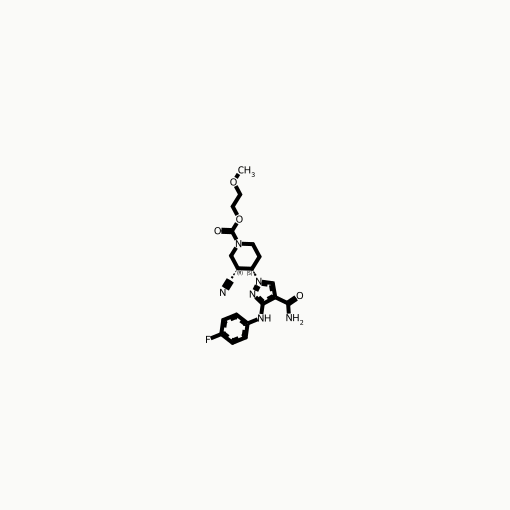 COCCOC(=O)N1CC[C@H](n2cc(C(N)=O)c(Nc3ccc(F)cc3)n2)[C@H](C#N)C1